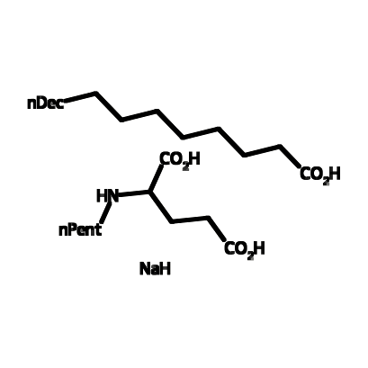 CCCCCCCCCCCCCCCCCC(=O)O.CCCCCNC(CCC(=O)O)C(=O)O.[NaH]